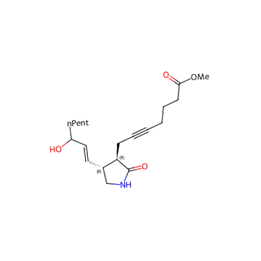 CCCCCC(O)C=C[C@H]1CNC(=O)[C@@H]1CC#CCCCC(=O)OC